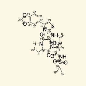 C=C[C@@H]1C[C@]1(NC(=O)[C@@H]1CCCN1C(=O)[C@@H](Nc1nc(-c2ccc3c(c2)OCO3)cs1)C(C)(C)C)C(=O)NS(=O)(=O)C1CC1